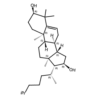 CC(C)CCC[C@@H](C)[C@H]1[C@H](O)C[C@H]2[C@@H]3CC=C4C(C)(C)[C@H](O)CC[C@]4(C)[C@H]3CC[C@]12C